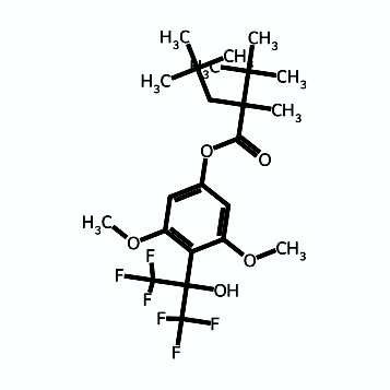 COc1cc(OC(=O)C(C)(CC(C)(C)C)C(C)(C)C)cc(OC)c1C(O)(C(F)(F)F)C(F)(F)F